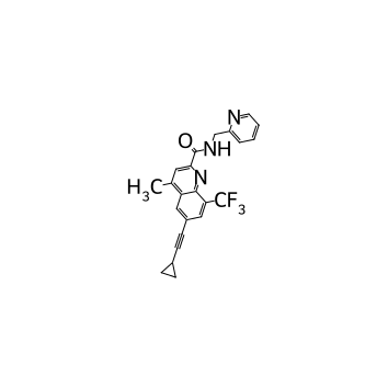 Cc1cc(C(=O)NCc2ccccn2)nc2c(C(F)(F)F)cc(C#CC3CC3)cc12